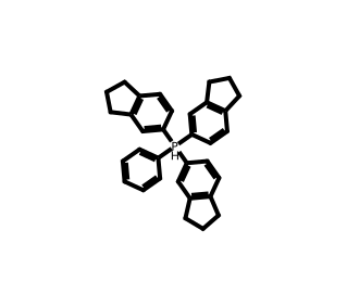 c1ccc([PH](c2ccc3c(c2)CCC3)(c2ccc3c(c2)CCC3)c2ccc3c(c2)CCC3)cc1